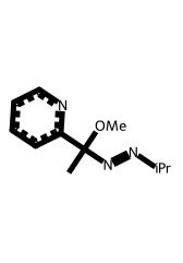 COC(C)(N=NC(C)C)c1ccccn1